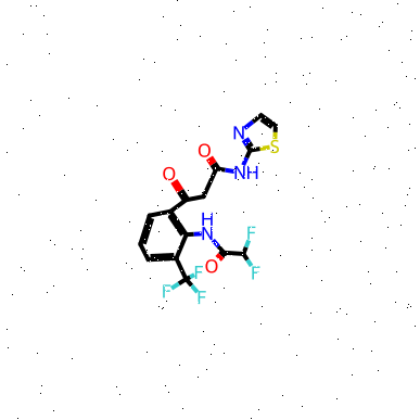 O=C(CC(=O)c1cccc(C(F)(F)F)c1NC(=O)C(F)F)Nc1nccs1